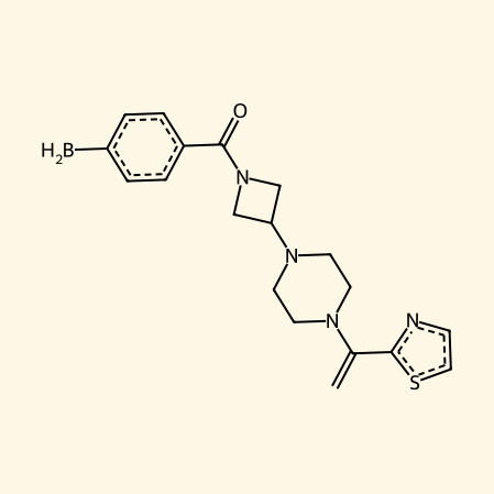 Bc1ccc(C(=O)N2CC(N3CCN(C(=C)c4nccs4)CC3)C2)cc1